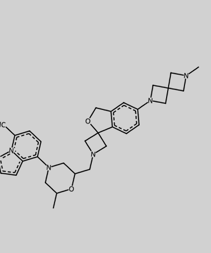 CC1CN(c2ccc(C#N)n3nccc23)CC(CN2CC3(C2)OCc2cc(N4CC5(CN(C)C5)C4)ccc23)O1